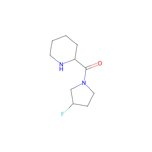 O=C(C1CCCCN1)N1CCC(F)C1